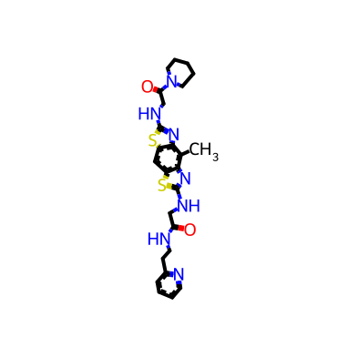 Cc1c2nc(NCC(=O)NCCc3ccccn3)sc2cc2sc(NCC(=O)N3CCCCC3)nc12